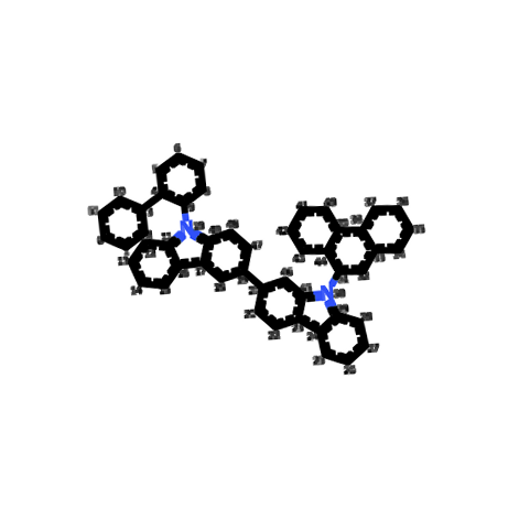 c1ccc(-c2ccccc2-n2c3ccccc3c3cc(-c4ccc5c6ccccc6n(-c6cc7ccccc7c7ccccc67)c5c4)ccc32)cc1